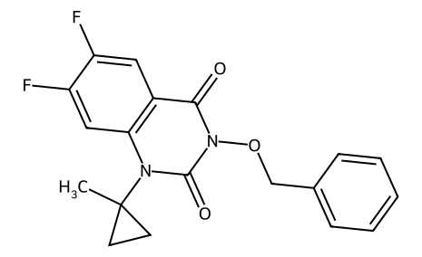 CC1(n2c(=O)n(OCc3ccccc3)c(=O)c3cc(F)c(F)cc32)CC1